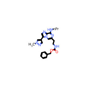 CCCNc1nc(CCNC(=O)OCc2ccccc2)cn2c(-c3cnn(C)c3)cnc12